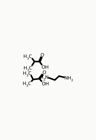 CC(C)C(=O)O.CC(C)C(=O)O.NCCN